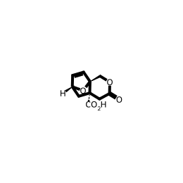 O=C1C[C@@]2(C(=O)O)C[C@@H]3C=C[C@@]2(CO1)O3